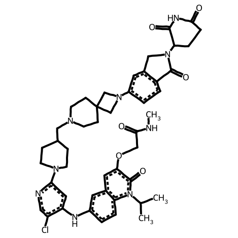 CNC(=O)COc1cc2cc(Nc3cc(N4CCC(CN5CCC6(CC5)CN(c5ccc7c(c5)CN(C5CCC(=O)NC5=O)C7=O)C6)CC4)ncc3Cl)ccc2n(C(C)C)c1=O